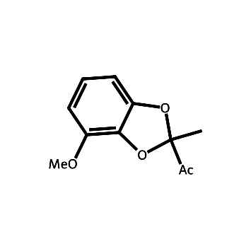 COc1cccc2c1OC(C)(C(C)=O)O2